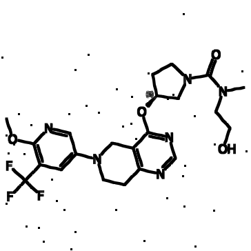 COc1ncc(N2CCc3ncnc(O[C@H]4CCN(C(=O)N(C)CCO)C4)c3C2)cc1C(F)(F)F